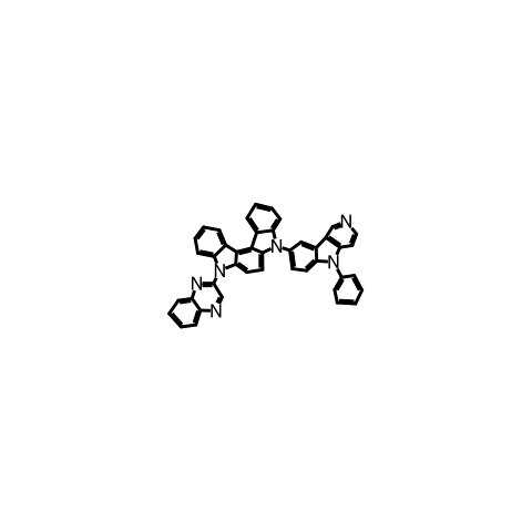 c1ccc(-n2c3ccncc3c3cc(-n4c5ccccc5c5c6c7ccccc7n(-c7cnc8ccccc8n7)c6ccc54)ccc32)cc1